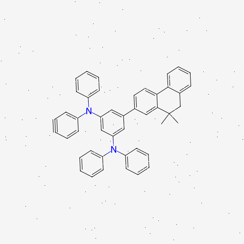 CC1(C)Cc2ccccc2-c2ccc(-c3cc(N(c4cc#ccc4)c4ccccc4)cc(N(c4ccccc4)c4ccccc4)c3)cc21